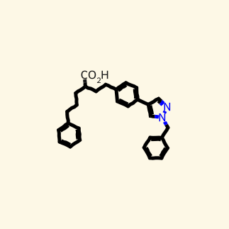 O=C(O)C(CCCc1ccccc1)CCc1ccc(-c2cnn(Cc3ccccc3)c2)cc1